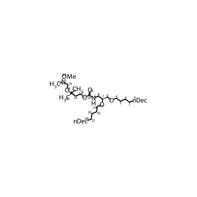 CCCCCCCCCCCCCCOC[C@H](CNC(=O)OCCC(C)(C)OCN(C)OC)OCCCCCCCCCCCCCC